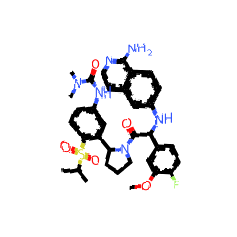 COc1cc(C(Nc2ccc3c(N)nccc3c2)C(=O)N2CCCC2c2cc(NC(=O)N(C)C)ccc2S(=O)(=O)C(C)C)ccc1F